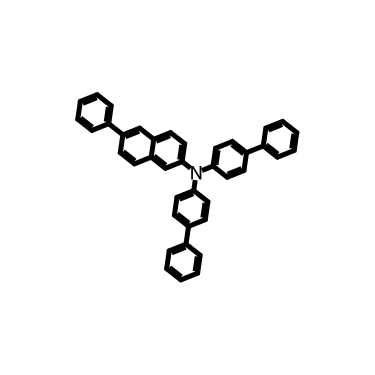 c1ccc(-c2ccc(N(c3ccc(-c4ccccc4)cc3)c3ccc4cc(-c5ccccc5)ccc4c3)cc2)cc1